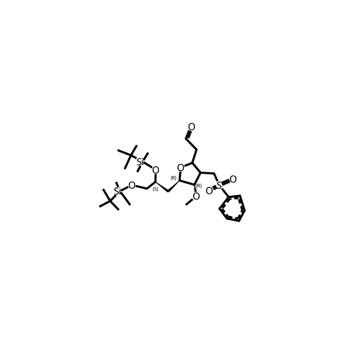 CO[C@@H]1C(CS(=O)(=O)c2ccccc2)C(CC=O)O[C@@H]1C[C@@H](CO[Si](C)(C)C(C)(C)C)O[Si](C)(C)C(C)(C)C